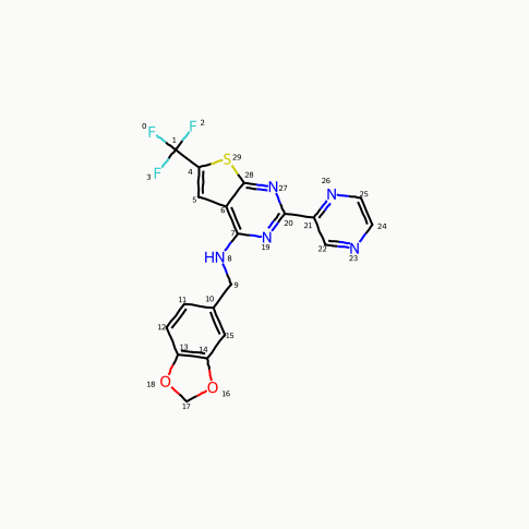 FC(F)(F)c1cc2c(NCc3ccc4c(c3)OCO4)nc(-c3cnccn3)nc2s1